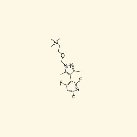 Cc1nn(COCC[Si](C)(C)C)c(C)c1-c1c(F)cc(F)nc1F